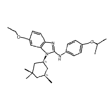 CCOc1ccc2nc(Nc3ccc(OC(C)C)cc3)n([C@H]3C[C@@H](C)CC(C)(C)C3)c2c1